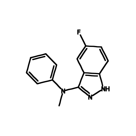 CN(c1ccccc1)c1n[nH]c2ccc(F)cc12